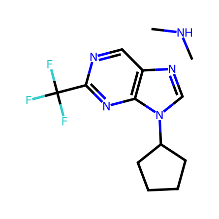 CNC.FC(F)(F)c1ncc2ncn(C3CCCC3)c2n1